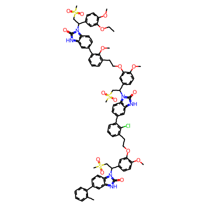 CCOc1cc(C(CS(C)(=O)=O)n2c(=O)[nH]c3cc(-c4cccc(CCOc5cc(C(CS(C)(=O)=O)n6c(=O)[nH]c7cc(-c8cccc(CCOc9cc(C(CS(C)(=O)=O)n%10c(=O)[nH]c%11cc(-c%12ccccc%12C)ccc%11%10)ccc9OC)c8Cl)ccc76)ccc5OC)c4OC)ccc32)ccc1OC